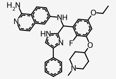 CCOc1cc(OC2CCN(C)CC2)c(F)c(C(Nc2ccc3c(N)nccc3c2)c2nc(-c3ccccc3)c[nH]2)c1